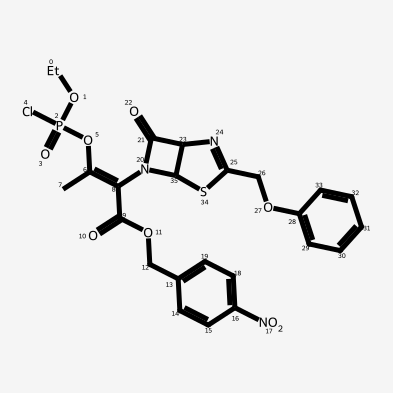 CCOP(=O)(Cl)OC(C)=C(C(=O)OCc1ccc([N+](=O)[O-])cc1)N1C(=O)C2N=C(COc3ccccc3)SC21